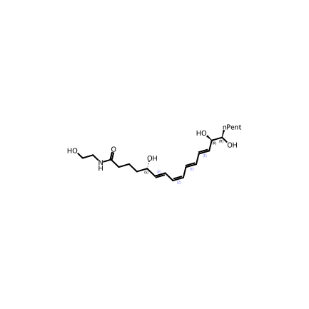 CCCCC[C@@H](O)[C@H](O)/C=C/C=C/C=C\C=C\[C@@H](O)CCCC(=O)NCCO